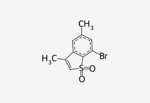 CC1=CS(=O)(=O)c2c(Br)cc(C)cc21